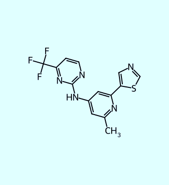 Cc1cc(Nc2nccc(C(F)(F)F)n2)cc(-c2cncs2)n1